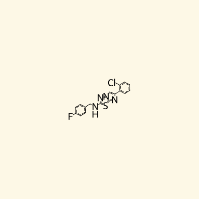 Fc1ccc(CNc2nn3cc(-c4ccccc4Cl)nc3s2)cc1